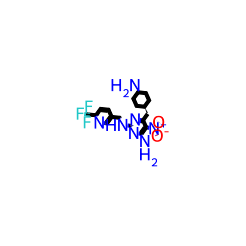 Nc1nc(NCc2ccc(C(F)(F)F)nc2)nc(C[C@H]2CC[C@H](N)CC2)c1[N+](=O)[O-]